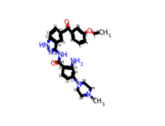 CCOc1cccc(C(=O)c2ccc3[nH]nc(NC(=O)c4ccc(N5CCN(C)CC5)cc4N)c3c2)c1